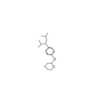 CC(C)CC(c1ccc(OC2CCCCO2)cc1)C(C)C